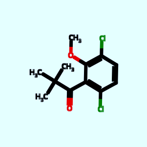 COc1c(Cl)ccc(Cl)c1C(=O)C(C)(C)C